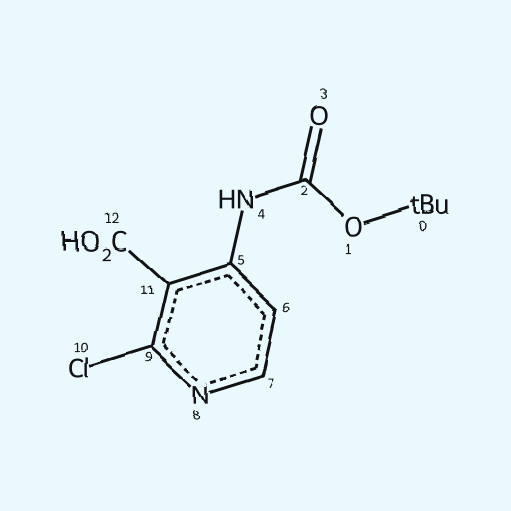 CC(C)(C)OC(=O)Nc1ccnc(Cl)c1C(=O)O